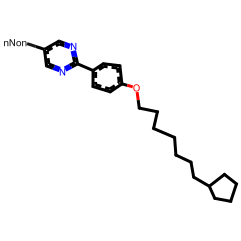 CCCCCCCCCc1cnc(-c2ccc(OCCCCCCCC3CCCC3)cc2)nc1